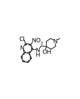 CN1CCC(O)(CNc2c([N+](=O)[O-])c(Cl)nc3ccccc23)CC1